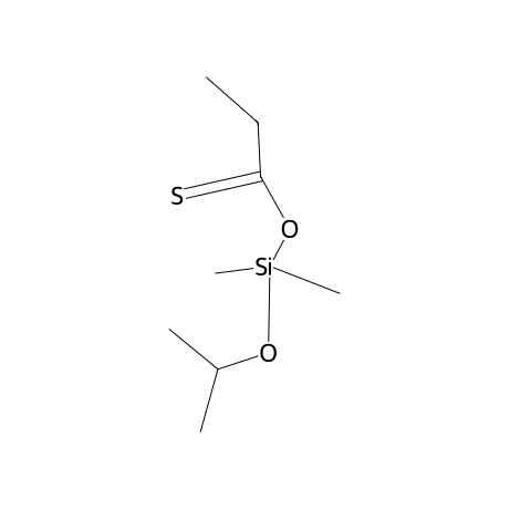 CCC(=S)O[Si](C)(C)OC(C)C